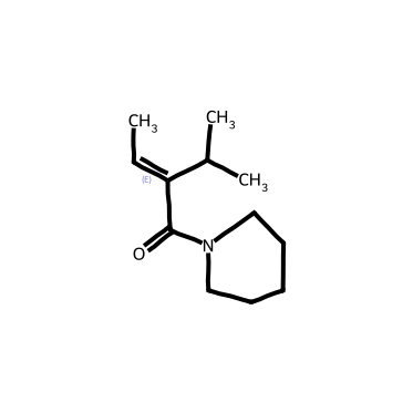 C/C=C(/C(=O)N1CCCCC1)C(C)C